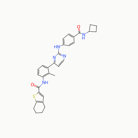 Cc1c(NC(=O)c2cc3c(s2)CCCC3)cccc1-c1ccnc(Nc2ccc(C(=O)NC3CCC3)cc2)n1